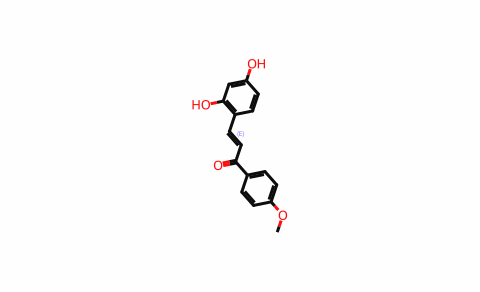 COc1ccc(C(=O)/C=C/c2ccc(O)cc2O)cc1